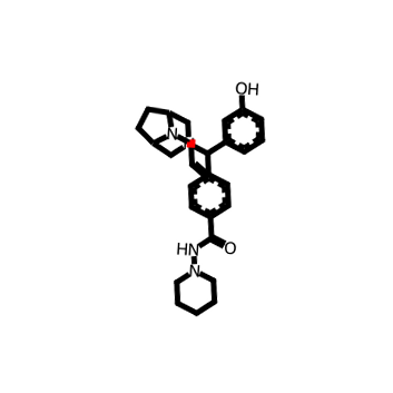 C=CCN1C2CCC1CN(C(c1ccc(C(=O)NN3CCCCC3)cc1)c1cccc(O)c1)C2